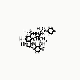 C=C(NC/C(C)=C/SC(=C)c1ccccc1)C(=C/C)/C(C)=C1\C(=C)NCCN1Cc1c(F)ccc(F)c1O